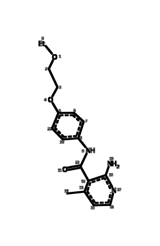 CCOCCOc1ccc(NC(=O)c2c(C)ccnc2N)cc1